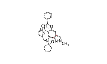 Cn1ccc(CN(Cc2ccn(C)n2)C2(Oc3ccc4c(c3)CCC(c3ccccc3)O4)CCCCC2)n1